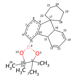 CC1(C)OB(c2cccc3c2C2C=CC=CC2C32CCCCC2)OC1(C)C